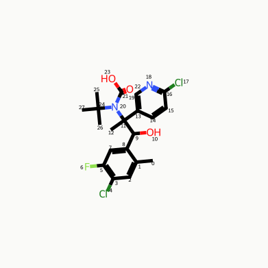 Cc1cc(Cl)c(F)cc1C(O)C(C)(c1ccc(Cl)nc1)N(C(=O)O)C(C)(C)C